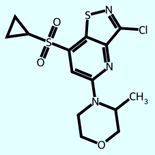 CC1COCCN1c1cc(S(=O)(=O)C2CC2)c2snc(Cl)c2n1